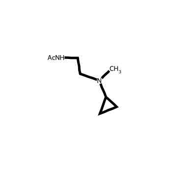 CC(=O)NCCN(C)C1CC1